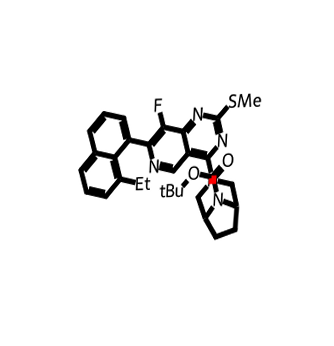 CCc1cccc2cccc(-c3ncc4c(N5CC6CCC(C5)N6C(=O)OC(C)(C)C)nc(SC)nc4c3F)c12